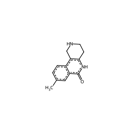 Cc1ccc2c3c([nH]c(=O)c2c1)CCNC3